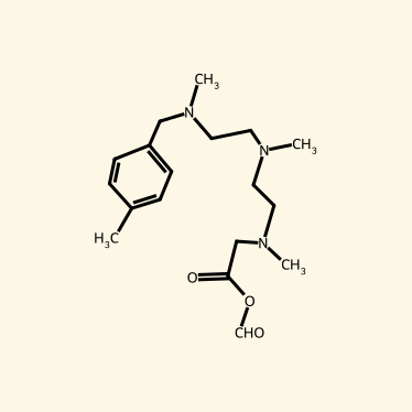 Cc1ccc(CN(C)CCN(C)CCN(C)CC(=O)OC=O)cc1